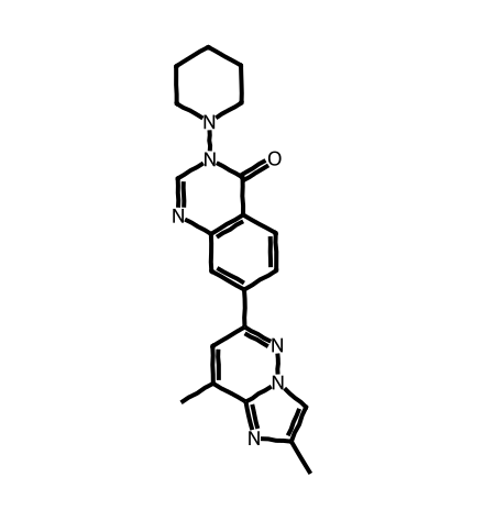 Cc1cn2nc(-c3ccc4c(=O)n(N5CCCCC5)cnc4c3)cc(C)c2n1